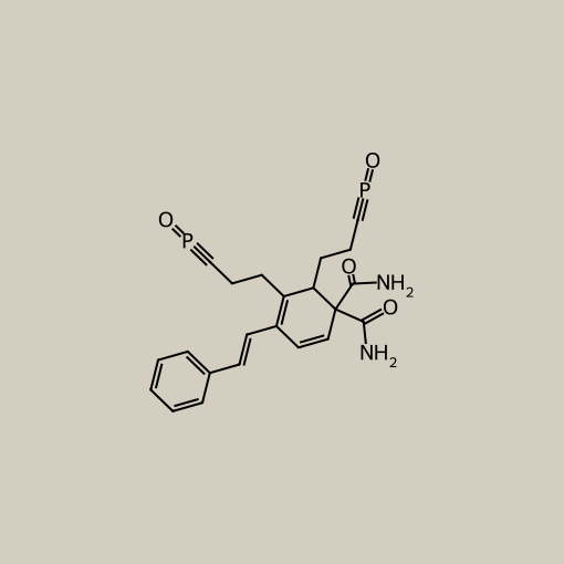 NC(=O)C1(C(N)=O)C=CC(C=Cc2ccccc2)=C(CCC#P=O)C1CCC#P=O